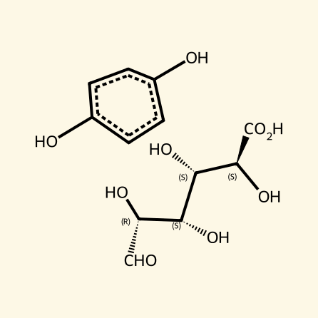 O=C[C@H](O)[C@@H](O)[C@H](O)[C@H](O)C(=O)O.Oc1ccc(O)cc1